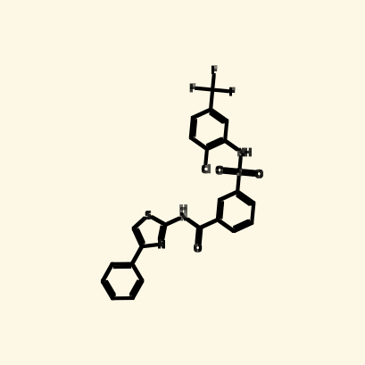 O=C(Nc1nc(-c2ccccc2)cs1)c1cccc(S(=O)(=O)Nc2cc(C(F)(F)F)ccc2Cl)c1